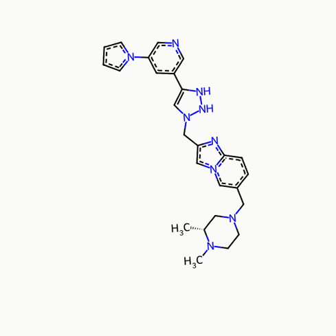 C[C@@H]1CN(Cc2ccc3nc(CN4C=C(c5cncc(-n6cccc6)c5)NN4)cn3c2)CCN1C